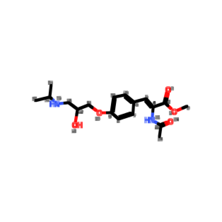 COC(=O)C(=Cc1ccc(OCC(O)CNC(C)C)cc1)NC(C)=O